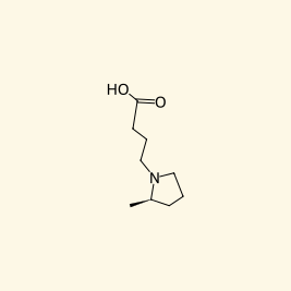 C[C@@H]1CCCN1CCCC(=O)O